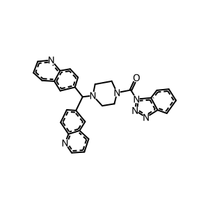 O=C(N1CCN(C(c2ccc3ncccc3c2)c2ccc3ncccc3c2)CC1)n1nnc2ccccc21